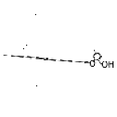 C#CC#CC#CC#CC#CC#CC#CC#CC#CC#CC#COc1cc(C)ccc1CO